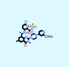 COc1cc(N2CCN(c3nc4c([C@@H](C)Nc5ccc(Cl)nc5C(=O)NS(C)(=O)=O)cc(C)cc4c(=O)n3C)CC2)ccn1